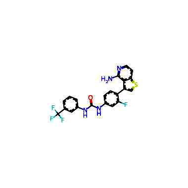 Nc1nccc2scc(-c3ccc(NC(=O)Nc4cccc(C(F)(F)F)c4)cc3F)c12